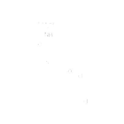 CCOC(=O)CNC(=O)Cc1csc2cc(OCc3ccc(Cl)cc3Cl)ccc12